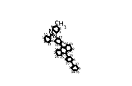 Cc1ccc2c(c1)nc(-c1ccccc1)n2-c1ccc(-c2c3ccccc3c(-c3ccc(-c4ccccc4)cc3)c3ccccc23)cc1